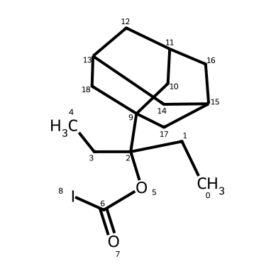 CCC(CC)(OC(=O)I)C12CC3CC(CC(C3)C1)C2